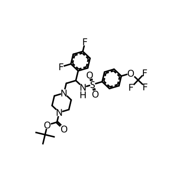 CC(C)(C)OC(=O)N1CCN(CC(NS(=O)(=O)c2ccc(OC(F)(F)F)cc2)c2ccc(F)cc2F)CC1